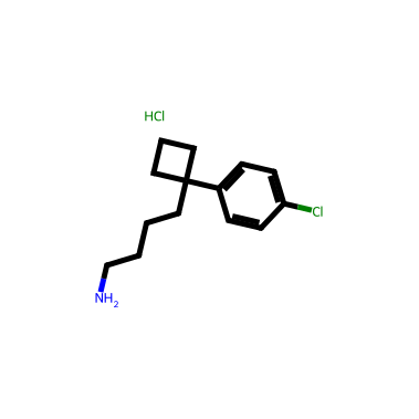 Cl.NCCCCC1(c2ccc(Cl)cc2)CCC1